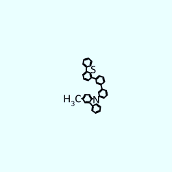 Cc1ccc2c(c1)c1ccccc1n2-c1cccc(-c2cccc(-c3cccc4c3sc3ccccc34)c2)c1